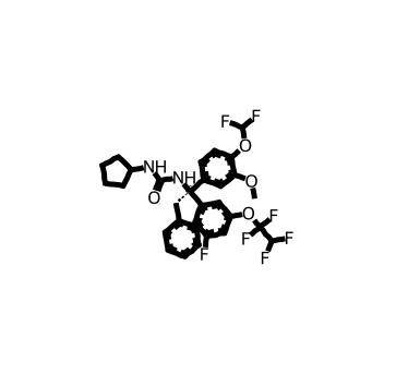 COc1cc([C@](Cc2ccccc2)(NC(=O)NC2CCCC2)c2cc(F)cc(OC(F)(F)C(F)F)c2)ccc1OC(F)F